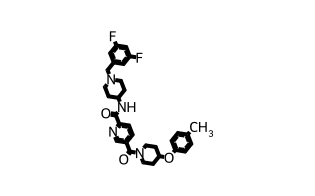 Cc1ccc(OC2CCN(C(=O)c3ccc(C(=O)NC4CCN(Cc5cc(F)cc(F)c5)CC4)nc3)CC2)cc1